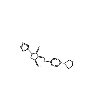 N=C1CN(c2cn[nH]c2)C(=O)/C1=C/Nc1ccc(N2CCCC2)nc1